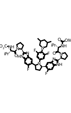 COC(=O)N[C@H](C(=O)N1CCC[C@H]1c1nc2cc([C@H]3CCC(c4cc5nc([C@@H]6CCCN6C(=O)[C@@H](NC(=O)O)C(C)C)[nH]c5cc4F)N3c3cc(F)c(N4CC(C)CC(C)C4)c(F)c3)c(F)cc2[nH]1)C(C)C